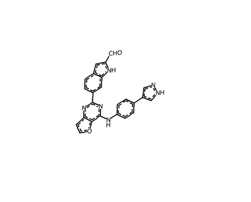 O=Cc1cc2ccc(-c3nc(Nc4ccc(-c5cn[nH]c5)cc4)c4occc4n3)cc2[nH]1